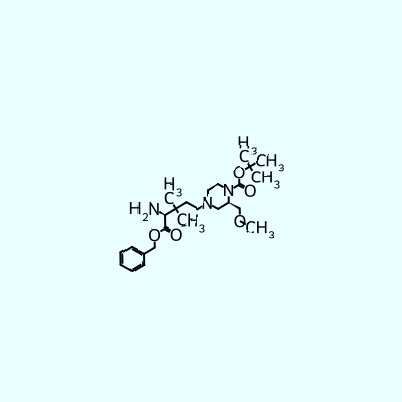 COC[C@H]1CN(CCC(C)(C)[C@H](N)C(=O)OCc2ccccc2)CCN1C(=O)OC(C)(C)C